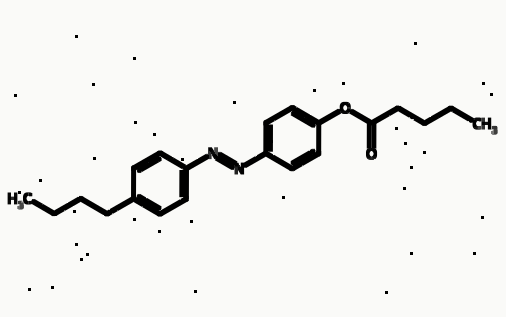 CCCCC(=O)Oc1ccc(/N=N/c2ccc(CCCC)cc2)cc1